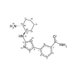 NC(=O)c1cccc(-c2cnc(N[C@@H]3CCCC[C@H]3N)o2)c1